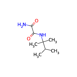 CC(C)C(C)(C)NC(=O)C(N)=O